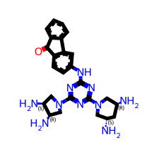 N[C@@H]1C[C@H](N)CN(c2nc(Nc3ccc4c(c3)-c3ccccc3C4=O)nc(N3C[C@@H](N)[C@@H](N)C3)n2)C1